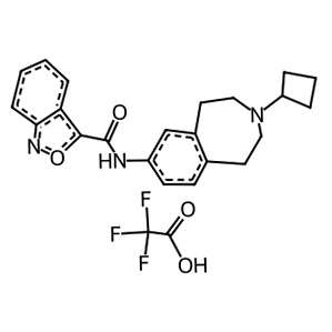 O=C(Nc1ccc2c(c1)CCN(C1CCC1)CC2)c1onc2ccccc12.O=C(O)C(F)(F)F